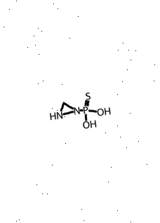 OP(O)(=S)N1CN1